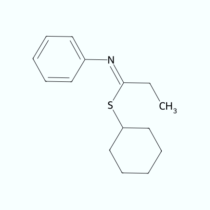 CCC(=Nc1ccccc1)SC1CCCCC1